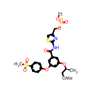 CCO[PH](=O)OCc1csc(NC(=O)c2cc(Oc3ccc(S(C)(=O)=O)cc3)cc(O[C@@H](C)COC)c2)n1